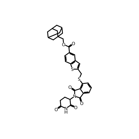 O=C1CCC(N2C(=O)c3cccc(SCc4cc5cc(C(=O)OCC67CC8CC(CC(C8)C6)C7)ccc5s4)c3C2=O)C(=O)N1